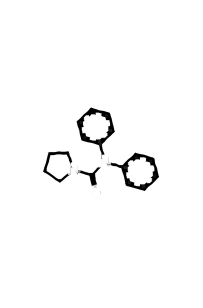 O=C(N1CCCC1)N(c1[c]cccc1)c1ccccc1